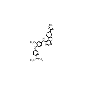 Cc1cc(Nc2ncnc3sc4c(c23)CCN(C(=O)OC(C)(C)C)C4)ccc1Oc1ccc(N(C)C)nc1